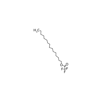 CCCCCCCCCCCCCCCCOC(=O)C(F)(F)F